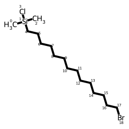 C[Si](C)(Cl)CCCCCCCCCCCCCCBr